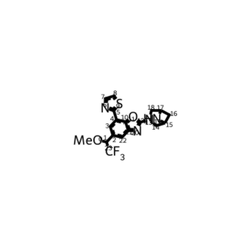 COC(c1cc(-c2nccs2)c2oc(N3CC4CC(C3)N4)nc2c1)C(F)(F)F